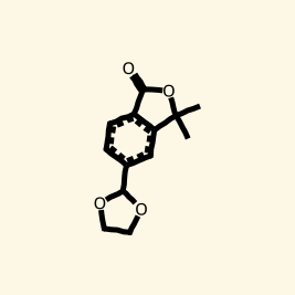 CC1(C)OC(=O)c2ccc(C3OCCO3)cc21